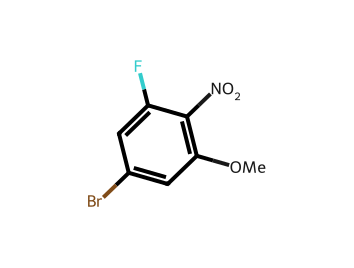 COc1cc(Br)cc(F)c1[N+](=O)[O-]